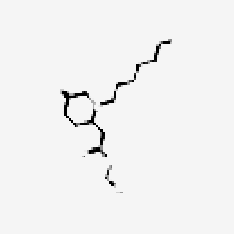 CCOC(=O)CC1CCC(=O)CN1CCCCCCCl